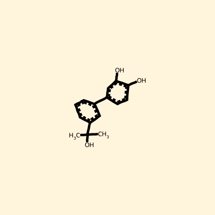 CC(C)(O)c1cccc(-c2ccc(O)c(O)c2)c1